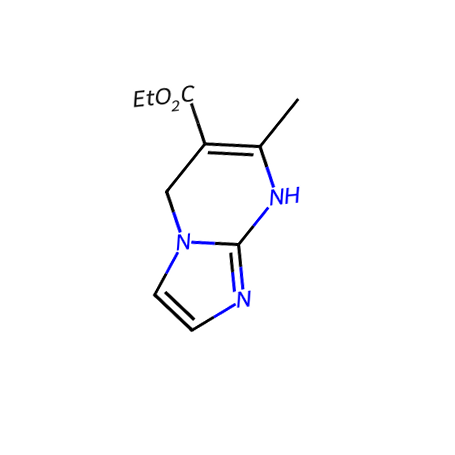 CCOC(=O)C1=C(C)Nc2nccn2C1